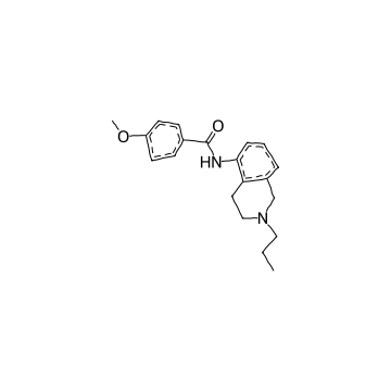 CCCN1CCc2c(cccc2NC(=O)c2ccc(OC)cc2)C1